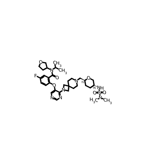 CC(C)N(C(=O)c1cc(F)ccc1Oc1cncnc1N1CC2(CCN(C[C@@H]3CC[C@@H](NS(=O)(=O)N(C)C)CO3)CC2)C1)C1CCOC1